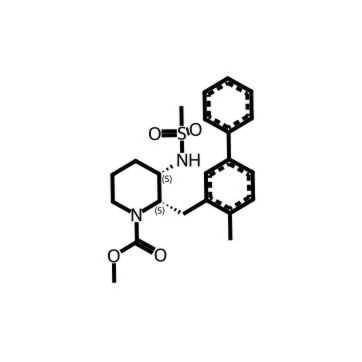 COC(=O)N1CCC[C@H](NS(C)(=O)=O)[C@@H]1Cc1cc(-c2ccccc2)ccc1C